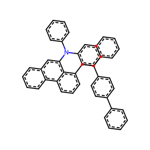 c1ccc(-c2ccc(C(Cc3cccc4c3c(N(c3ccccc3)c3ccccc3)cc3ccccc34)c3ccccc3)cc2)cc1